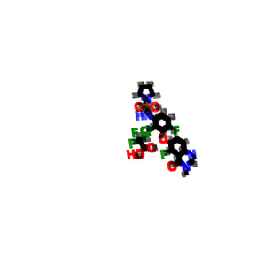 Cn1cnc2ccc(Oc3c(F)ccc(NS(=O)(=O)N4CCCC4)c3Cl)c(F)c2c1=O.O=C(O)C(F)(F)F